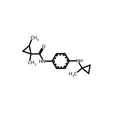 CC1CC1(C)C(=O)Nc1ccc(NC2(C)CC2)cc1